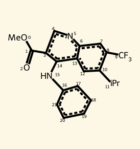 COC(=O)c1cnc2cc(C(F)(F)F)c(C(C)C)cc2c1Nc1ccccc1